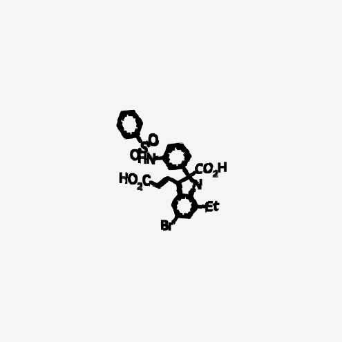 CCc1cc(Br)cc2c1=NC(C(=O)O)(c1cccc(NS(=O)(=O)c3ccccc3)c1)C=2C=CC(=O)O